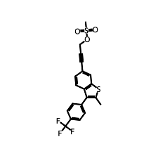 Cc1sc2cc(C#CCOS(C)(=O)=O)ccc2c1-c1ccc(C(F)(F)F)cc1